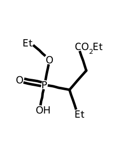 CCOC(=O)CC(CC)P(=O)(O)OCC